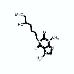 COCC(O)CCCCn1c(=O)c2c(ncn2C)n(C)c1=O